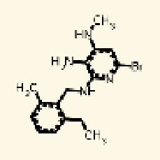 CCc1cccc(C)c1CNc1nc(Br)cc(NC)c1N